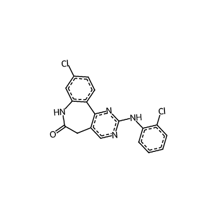 O=C1Cc2cnc(Nc3ccccc3Cl)nc2-c2ccc(Cl)cc2N1